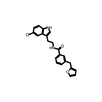 O=C(NCCc1c[nH]c2ccc(Cl)cc12)c1cccc(Cc2ccco2)c1